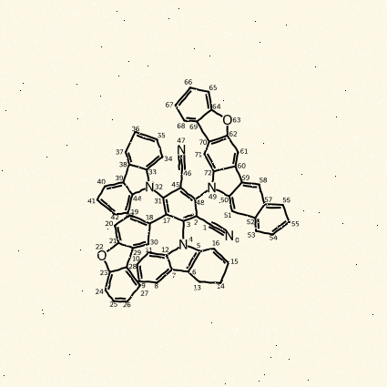 N#Cc1c(-n2c3c(c4ccccc42)CCC=C3)c(-c2ccc3oc4ccccc4c3c2)c(-n2c3ccccc3c3ccccc32)c(C#N)c1-n1c2cc3ccccc3cc2c2cc3oc4ccccc4c3cc21